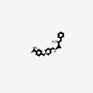 C/C(=C\c1ccccc1)C1CC1NCC1CCN(Cc2ccc(C(N)=O)cc2)CC1